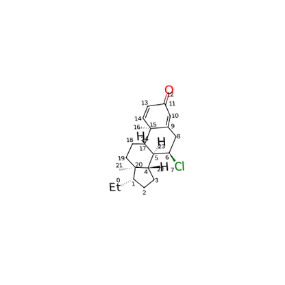 CC[C@H]1CC[C@H]2[C@@H]3[C@H](Cl)CC4=CC(=O)C=C[C@]4(C)[C@H]3CC[C@]12C